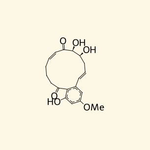 COc1cc(O)c2c(c1)/C=C/C[C@H](O)[C@H](O)C(=O)/C=C\CCCC2=O